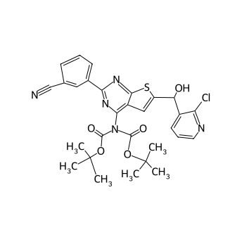 CC(C)(C)OC(=O)N(C(=O)OC(C)(C)C)c1nc(-c2cccc(C#N)c2)nc2sc(C(O)c3cccnc3Cl)cc12